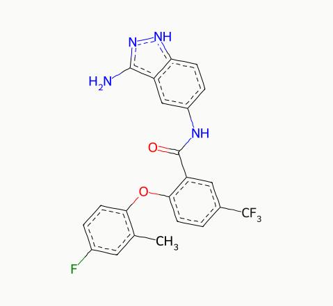 Cc1cc(F)ccc1Oc1ccc(C(F)(F)F)cc1C(=O)Nc1ccc2[nH]nc(N)c2c1